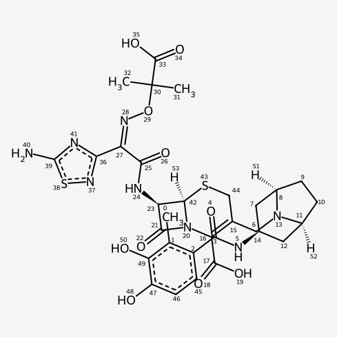 Cc1c(C(=O)N[C@H]2C[C@H]3CC[C@@H](C2)N3CC2=C(C(=O)O)N3C(=O)[C@@H](NC(=O)/C(=N\OC(C)(C)C(=O)O)c4nsc(N)n4)[C@H]3SC2)ccc(O)c1O